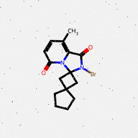 Cc1ccc(=O)n2c1C(=O)N(Br)C21CC2(CCCC2)C1